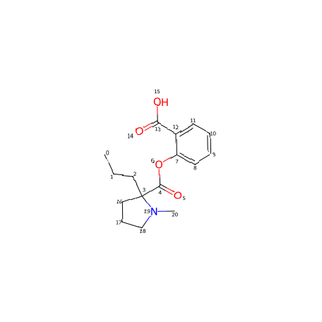 CCCC1(C(=O)Oc2ccccc2C(=O)O)CCCN1C